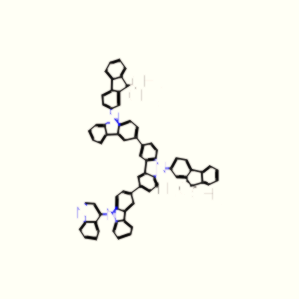 CC1(C)c2ccccc2-c2ccc(-n3c4ccccc4c4cc(-c5ccc6c(c5)c5cc(-c7ccc8c(c7)c7ccccc7n8-c7ccnc8ccccc78)ccc5n6-c5ccc6c(c5)C(C)(C)c5ccccc5-6)ccc43)cc21